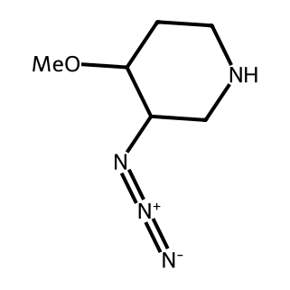 COC1CCNCC1N=[N+]=[N-]